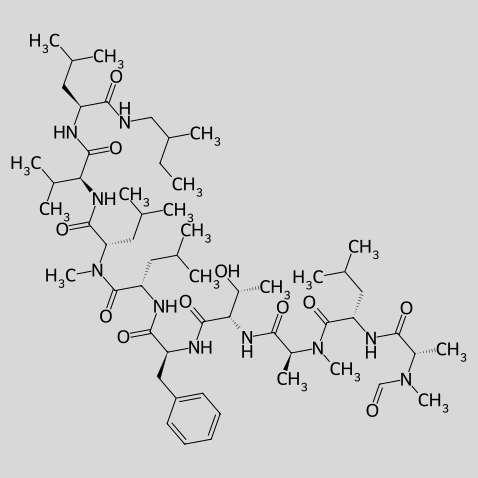 CCC(C)CNC(=O)[C@H](CC(C)C)NC(=O)[C@@H](NC(=O)[C@H](CC(C)C)N(C)C(=O)[C@H](CC(C)C)NC(=O)[C@H](Cc1ccccc1)NC(=O)[C@@H](NC(=O)[C@H](C)N(C)C(=O)[C@H](CC(C)C)NC(=O)[C@H](C)N(C)C=O)[C@@H](C)O)C(C)C